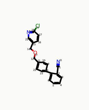 N#Cc1ccccc1-c1ccc(COCc2ccc(Cl)nc2)cc1